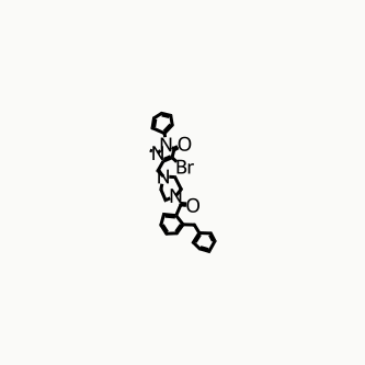 Cn1c(CN2CCN(C(=O)c3ccccc3Cc3ccccc3)CC2)c(Br)c(=O)n1-c1ccccc1